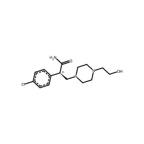 NC(=O)[C@@H](CN1CCN(CCO)CC1)c1ccc(Cl)cc1